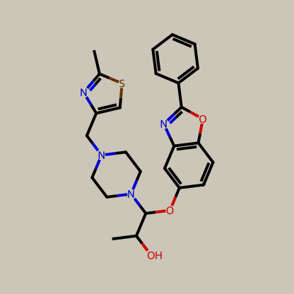 Cc1nc(CN2CCN(C(Oc3ccc4oc(-c5ccccc5)nc4c3)C(C)O)CC2)cs1